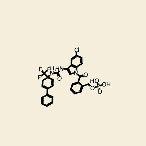 O=C(Nc1cn(C(=O)c2ccccc2COP(=O)(O)O)c2ccc(Cl)cc12)NC1(C(F)(F)F)C=CC(c2ccccc2)=CC1